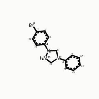 Brc1ccc(N2CN(c3ccccc3)CN2)cc1